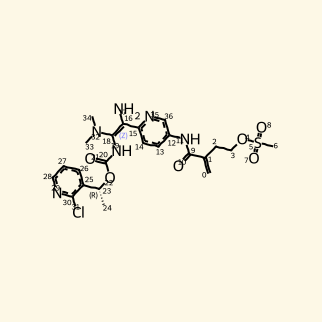 C=C(CCOS(C)(=O)=O)C(=O)Nc1ccc(/C(N)=C(\NC(=O)O[C@H](C)c2cccnc2Cl)N(C)C)nc1